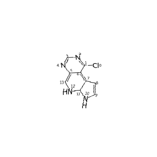 Clc1ncnc2c1=C1C=CNC1NC=2